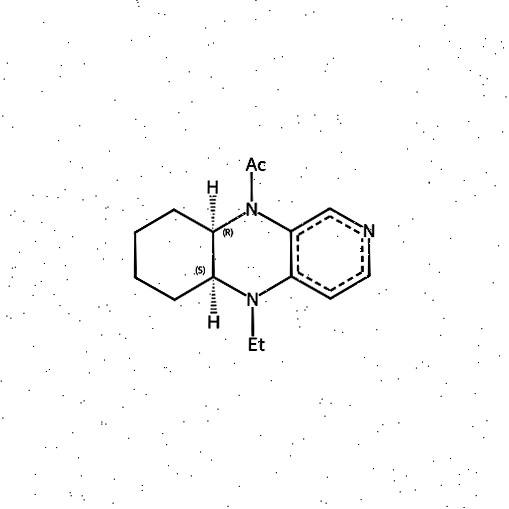 CCN1c2ccncc2N(C(C)=O)[C@@H]2CCCC[C@@H]21